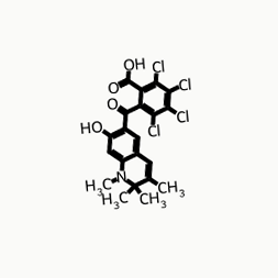 CC1=Cc2cc(C(=O)c3c(Cl)c(Cl)c(Cl)c(Cl)c3C(=O)O)c(O)cc2N(C)C1(C)C